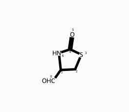 O=CC1CSC(=O)N1